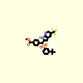 COC(=O)c1ccc(C(c2cc3cc(C(F)(F)F)cnc3[nH]2)S(=O)(=O)c2cccc(C(C)(C)C)c2)cc1